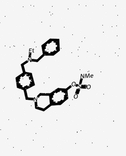 CCN(Cc1ccccc1)Cc1ccc(CN2CCc3ccc(OS(=O)(=O)NC)cc3C2)cc1